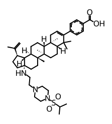 C=C(C)[C@@H]1CC[C@]2(NCCN3CCN(S(=O)(=O)C(C)C)CC3)CC[C@]3(C)[C@H](CC[C@@H]4[C@@]5(C)CC=C(c6ccc(C(=O)O)cc6)C(C)(C)[C@@H]5CC[C@]43C)[C@@H]12